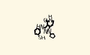 O=c1[nH]ccc2c1c(Nc1cccc(S)c1)nn2C1CCCC1